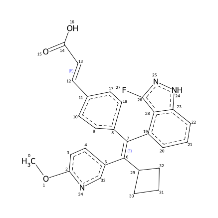 COc1ccc(/C(=C(\c2ccc(/C=C/C(=O)O)cc2)c2cccc3[nH]nc(F)c23)C2CCC2)cn1